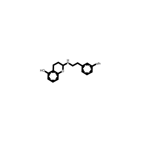 CCCc1cccc(CCNC2CCc3c(O)cccc3O2)c1